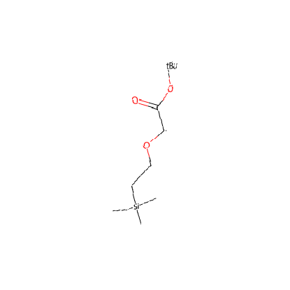 CC(C)(C)OC(=O)[CH]OCC[Si](C)(C)C